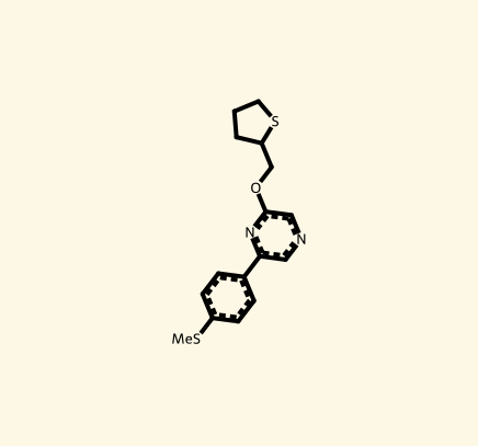 CSc1ccc(-c2cncc(OCC3CCCS3)n2)cc1